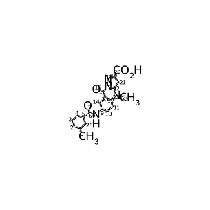 Cc1cccc(C(=O)Nc2ccc3c(c2)c(=O)n2nc(C(=O)O)cc2n3C)c1